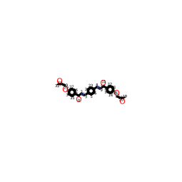 O=C(/C=C/c1ccc(/C=C/C(=O)c2ccc(OCC3CO3)cc2)cc1)c1ccc(OCC2CO2)cc1